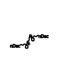 CCCCCCCCCCCCCC(=O)N(C)CCCN(C)C(=O)CCCCCCCCCCCCC